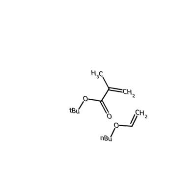 C=C(C)C(=O)OC(C)(C)C.C=COCCCC